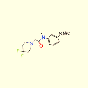 CNc1cccc(N(C)C(=O)CN2CCC(F)(F)CC2)c1